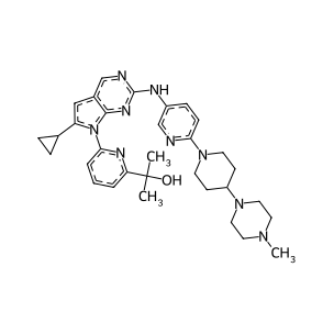 CN1CCN(C2CCN(c3ccc(Nc4ncc5cc(C6CC6)n(-c6cccc(C(C)(C)O)n6)c5n4)cn3)CC2)CC1